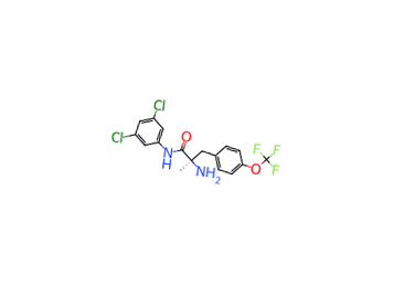 C[C@@](N)(Cc1ccc(OC(F)(F)F)cc1)C(=O)Nc1cc(Cl)cc(Cl)c1